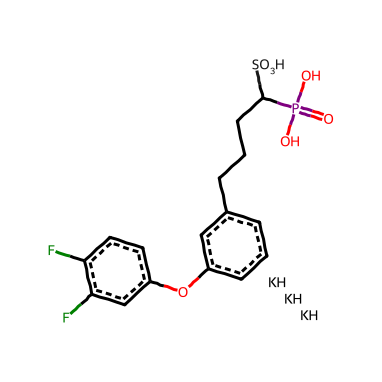 O=P(O)(O)C(CCCc1cccc(Oc2ccc(F)c(F)c2)c1)S(=O)(=O)O.[KH].[KH].[KH]